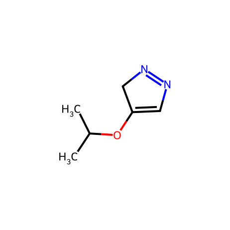 CC(C)OC1=CN=NC1